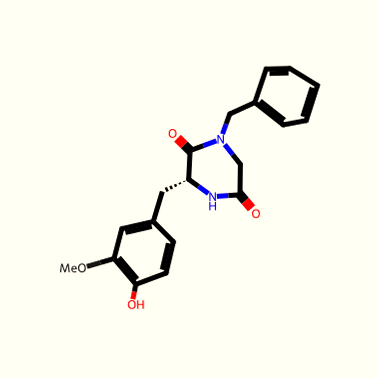 COc1cc(C[C@H]2NC(=O)CN(Cc3ccccc3)C2=O)ccc1O